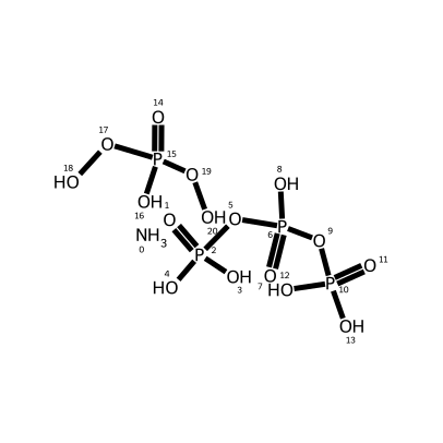 N.O=P(O)(O)OP(=O)(O)OP(=O)(O)O.O=P(O)(OO)OO